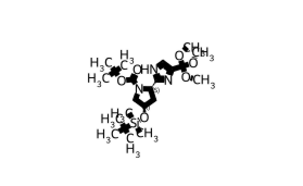 COC(OC)(OC)c1c[nH]c([C@@H]2C[C@@H](O[Si](C)(C)C(C)(C)C)CN2C(=O)OC(C)(C)C)n1